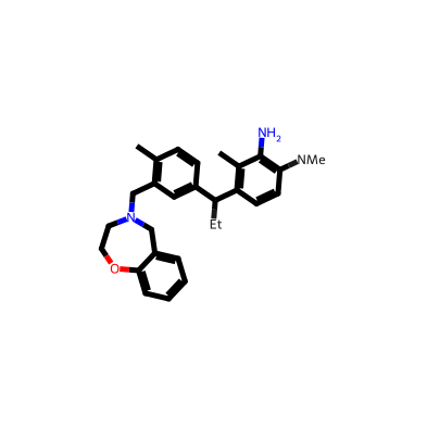 CCC(c1ccc(C)c(CN2CCOc3ccccc3C2)c1)c1ccc(NC)c(N)c1C